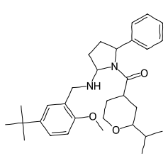 COc1ccc(C(C)(C)C)cc1CNC1CCC(c2ccccc2)N1C(=O)C1CCOC(C(C)C)C1